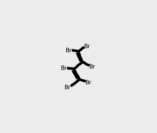 BrC(Br)=C(Br)C(Br)=C(Br)Br